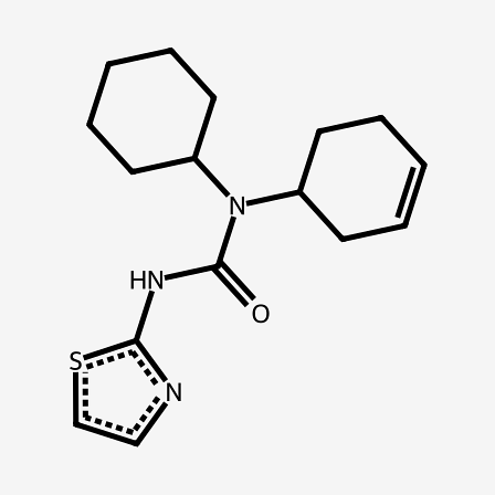 O=C(Nc1nccs1)N(C1CC=CCC1)C1CCCCC1